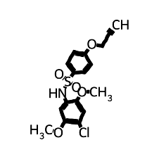 C#CCOc1ccc(S(=O)(=O)Nc2cc(OC)c(Cl)cc2OC)cc1